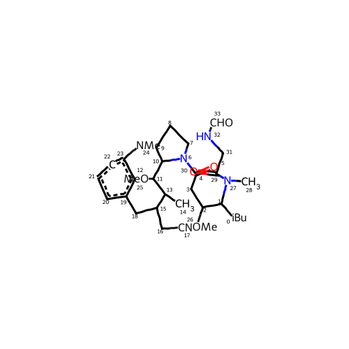 CCC(C)C(C(CC(=O)N1CCCC1C(OC)C(C)C(CC#N)Cc1cccc(NC)c1)OC)N(C)C(=O)CNC=O